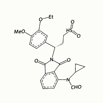 CCOc1cc([C@H](CC[SH](=O)=O)N2C(=O)c3cccc(N(C=O)C4CC4)c3C2=O)ccc1OC